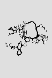 COc1cnc(O[C@@H]2C[C@H]3C(=O)N[C@]4(C(=O)NS(=O)(=O)C5(CF)CC5)C[C@H]4C=CCCC(C)C[C@@H](C)[C@H](NC(=O)O)C(=O)N3C2)c2ccccc12